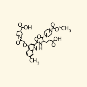 CCOC(=O)N1CCN(C(=O)C(CCC(=O)O)NC(=O)c2cc(OCC(=O)N3CCC(C(=O)O)C3)c3ccc(C)cc3n2)CC1